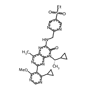 CCS(=O)(=O)c1cnc(CNc2nc3c(C)nc(-c4c(OC)ncnc4C4CC4)nc3n([C@@H](C)C3CC3)c2=O)nc1